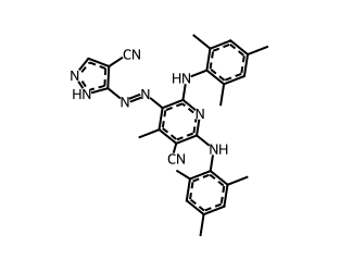 Cc1cc(C)c(Nc2nc(Nc3c(C)cc(C)cc3C)c(N=Nc3[nH]ncc3C#N)c(C)c2C#N)c(C)c1